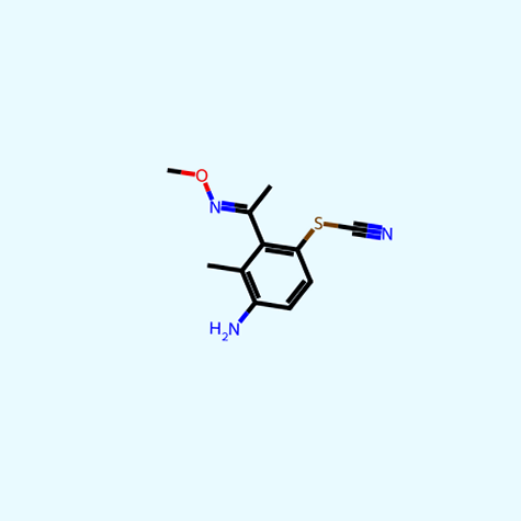 CON=C(C)c1c(SC#N)ccc(N)c1C